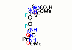 COC(=O)N[C@H](C(=O)N1CCC[C@H]1c1ncc(-c2ccc(-c3ccc(-c4cnc([C@@H]5CCCN5C(=O)[C@@H](NC(=O)O)[C@@H](C)OC)[nH]4)c(F)c3)cc2F)[nH]1)C(C)C